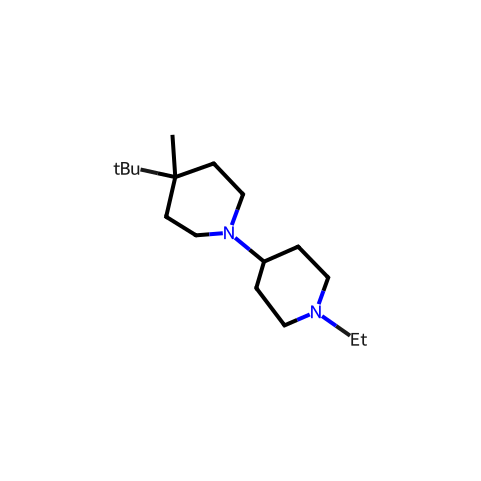 CCN1CCC(N2CCC(C)(C(C)(C)C)CC2)CC1